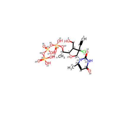 C#CC1(Cl)C(CO)[C@@H]([C@H](C)OP(=O)(O)OP(=O)(O)OP(=O)(O)O)O[C@H]1n1c(C)cc(=O)[nH]c1=O